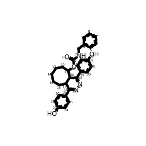 O=C(NCc1ccccc1)OC1CCCCCC2C(c3ccc(O)cc3)=NN=C(c3ccc(O)cc3)C12